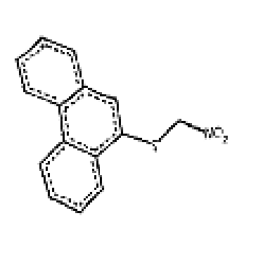 O=[N+]([O-])CSc1cc2ccccc2c2ccccc12